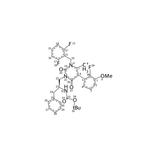 COc1cccc(-c2c(C)n(Cc3c(F)cccc3F)c(=O)n(C[C@H](Cc3ccccc3)NC(=O)OC(C)(C)C)c2=O)c1F